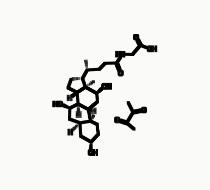 CC(=O)C(C)=O.C[C@H](CCC(=O)NCC(=O)O)[C@H]1CC[C@H]2[C@@H]3[C@H](O)C[C@@H]4C[C@H](O)CC[C@]4(C)[C@H]3C[C@H](O)[C@]12C